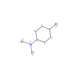 CCC1CCC(N(CC)CC)CC1